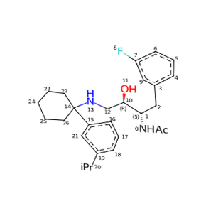 CC(=O)N[C@@H](Cc1cccc(F)c1)[C@H](O)CNC1(c2cccc(C(C)C)c2)CCCCC1